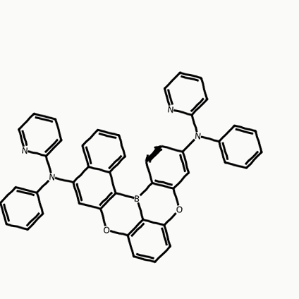 c1ccc(N(c2ccccn2)c2cc3c(c4ccccc24)B2c4c(cccc4Oc4cc(N(c5ccccc5)c5ccccn5)c5ccccc5c42)O3)cc1